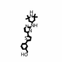 CC1(C)CC(Nc2nccc(-c3ccc(-c4cccc(CO)c4)s3)n2)CC(C)(C)N1